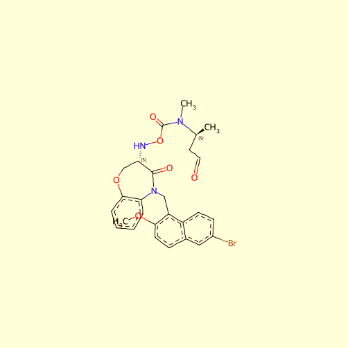 COc1ccc2cc(Br)ccc2c1CN1C(=O)[C@@H](NOC(=O)N(C)[C@@H](C)CC=O)COc2ccccc21